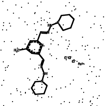 Cc1cc(C=NNN2CCCCC2)nc(C=NNN2CCCCC2)c1.[Cl-].[Cl-].[Cl-].[Fe+3]